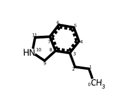 CCCc1cccc2c1CNC2